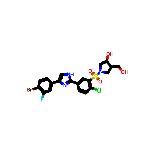 O=S(=O)(c1cc(-c2nc(-c3ccc(Br)c(F)c3)c[nH]2)ccc1Cl)N1CC(O)C(CO)C1